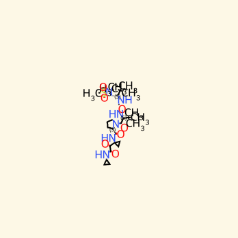 CN(C[C@@H](NCON[C@H](C(=O)N1CCC[C@H]1C(=O)NC1(C(=O)C(=O)NC2CC2)CC1)C(C)(C)C)C(C)(C)C)S(C)(=O)=O